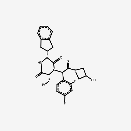 CC(C)C[C@@H]1C(=O)N[C@H](C2Cc3ccccc3C2)C(=O)N1[C@@H](C(=O)N1CC(O)C1)c1ccc(F)cc1F